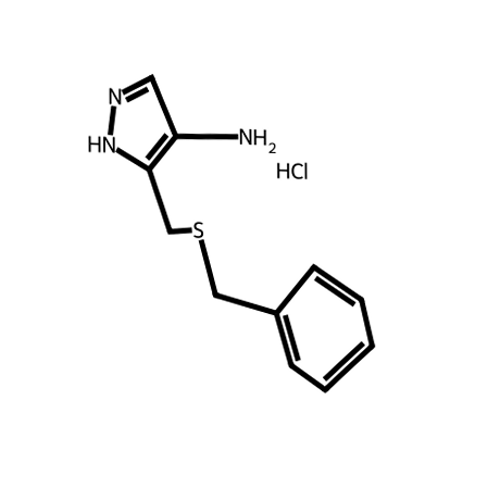 Cl.Nc1cn[nH]c1CSCc1ccccc1